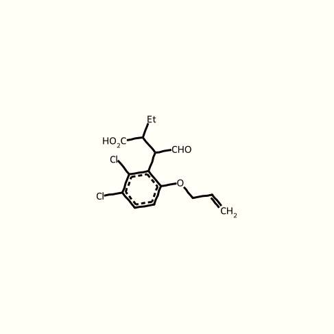 C=CCOc1ccc(Cl)c(Cl)c1C(C=O)C(CC)C(=O)O